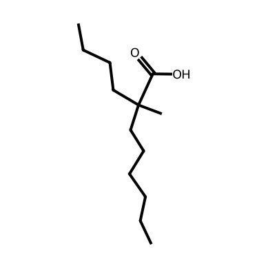 CCCCCCC(C)(CCCC)C(=O)O